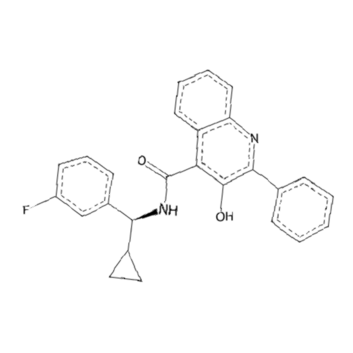 O=C(N[C@H](c1cccc(F)c1)C1CC1)c1c(O)c(-c2ccccc2)nc2ccccc12